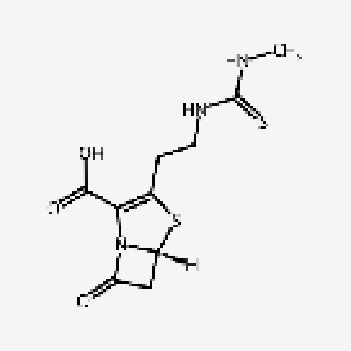 CNC(=S)NCCC1=C(C(=O)O)N2C(=O)C[C@H]2S1